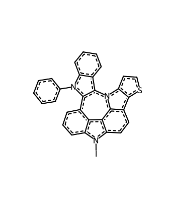 In1c2cccc3c2c2c1ccc1c4sccc4n(c12)c1c2ccccc2n(-c2ccccc2)c31